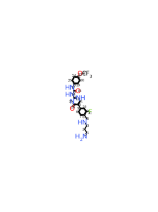 NCCCNCc1ccc(-c2c[nH]c(NC(=O)Nc3ccc(OC(F)(F)F)cc3)nc2=O)cc1F